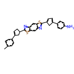 Cc1ccc(C2=CCC(c3nc4cc5sc(C6=CC=C(c7ccc(N)cc7)C6)nc5cc4s3)C2)cc1